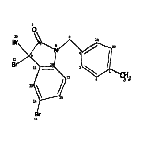 Cc1ccc(CN2C(=O)C(Br)(Br)c3cc(Br)ccc32)cc1